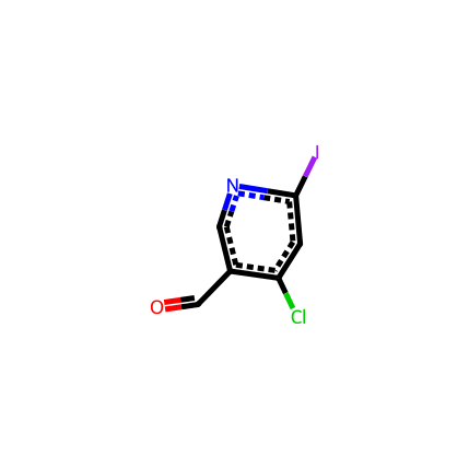 O=Cc1cnc(I)cc1Cl